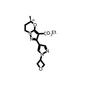 CCOC(=O)c1c(-c2cnn(C3COC3)c2)nn2c1O[C@H](C)CC2